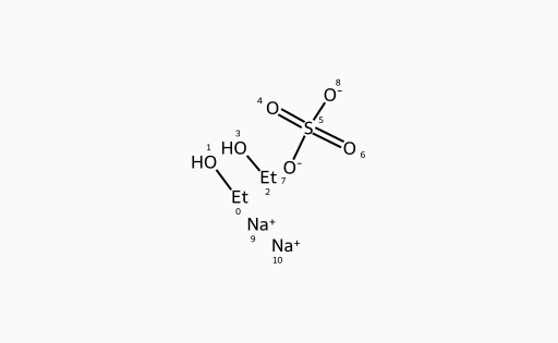 CCO.CCO.O=S(=O)([O-])[O-].[Na+].[Na+]